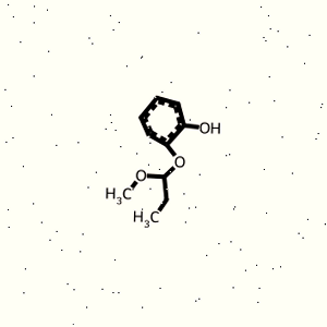 CCC(OC)Oc1ccccc1O